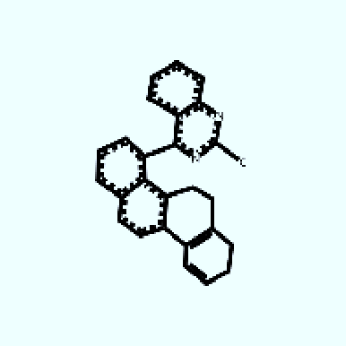 Clc1nc(-c2cccc3ccc4c(c23)CCC2=C4C=CCC2)c2ccccc2n1